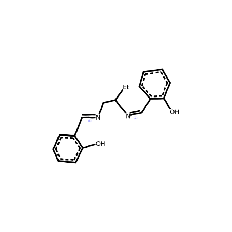 CCC(C/N=C/c1ccccc1O)/N=C\c1ccccc1O